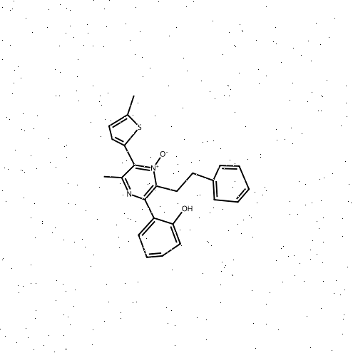 Cc1ccc(-c2c(C)nc(-c3ccccc3O)c(CCc3ccccc3)[n+]2[O-])s1